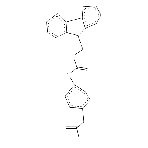 O=C(O)Cc1ccc(NC(=O)OCC2c3ccccc3-c3ccccc32)cc1